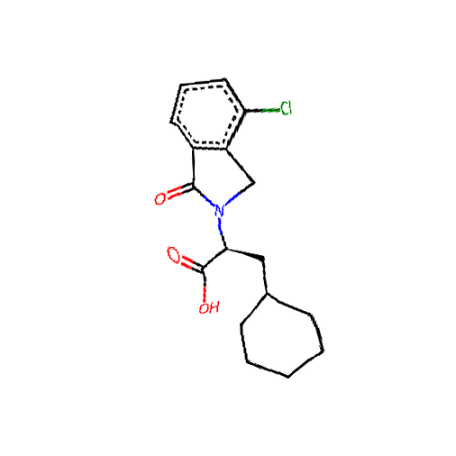 O=C(O)[C@H](CC1CCCCC1)N1Cc2c(Cl)cccc2C1=O